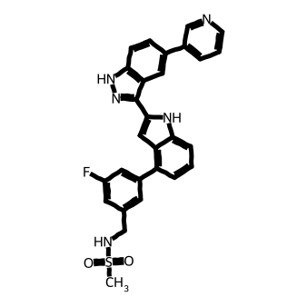 CS(=O)(=O)NCc1cc(F)cc(-c2cccc3[nH]c(-c4n[nH]c5ccc(-c6cccnc6)cc45)cc23)c1